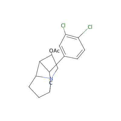 CC(=O)OC1CN2C3CCC2C1C(c1ccc(Cl)c(Cl)c1)C3